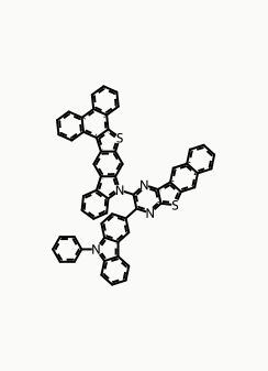 c1ccc(-n2c3ccccc3c3cc(-c4nc5sc6cc7ccccc7cc6c5nc4-n4c5ccccc5c5cc6c(cc54)sc4c5ccccc5c5ccccc5c64)ccc32)cc1